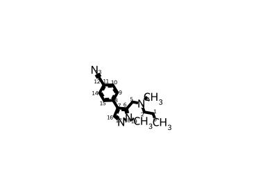 CCCN(C)Cc1c(-c2ccc(C#N)cc2)cnn1C